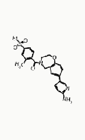 CCS(=O)(=O)c1ccc(C(=O)N2CCOc3ccc(-c4ccc(N)nc4)cc3C2)c(C)c1